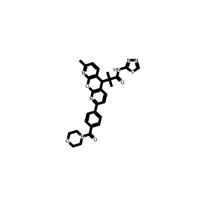 Cc1ccc2c(n1)Oc1nc(-c3ccc(C(=O)N4CCOCC4)cc3)ccc1C2C(C)(C)C(=O)Nc1nncs1